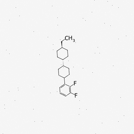 CC[C@H]1CC[C@H](C2CCC(c3cccc(F)c3F)CC2)CC1